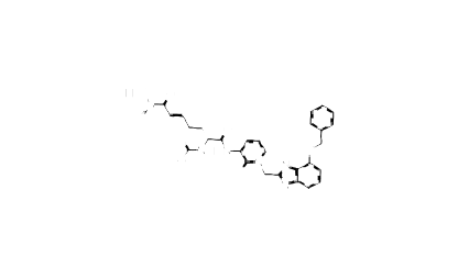 CN(C)C(=O)/C=C/CC[C@H](NC(=O)O)C(=O)Nc1cccn(Cc2nc3cccc(OCc4ccccc4)c3[nH]2)c1=O